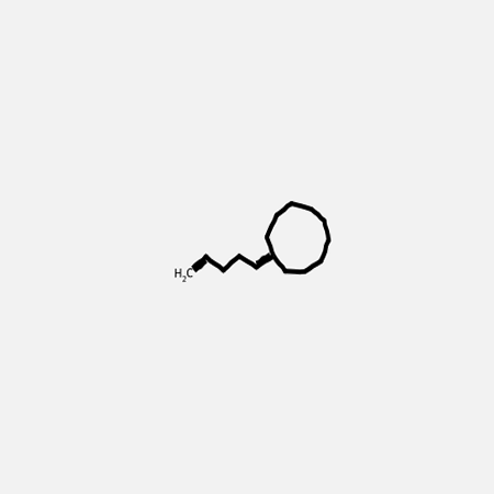 C=CCCC=C1CCCCCCCCC1